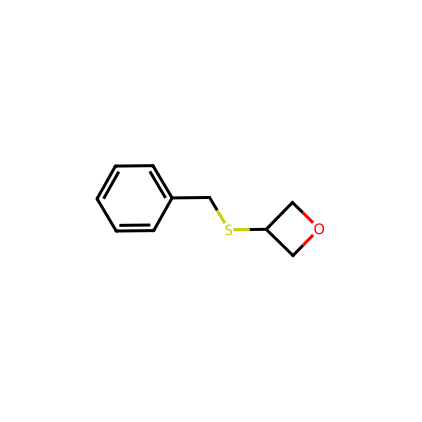 c1ccc(CSC2COC2)cc1